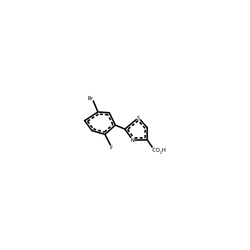 O=C(O)c1csc(-c2cc(Br)ccc2F)n1